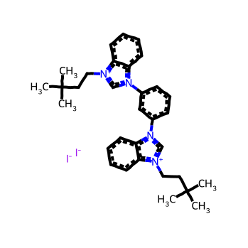 CC(C)(C)CC[n+]1cn(-c2cccc(-n3c[n+](CCC(C)(C)C)c4ccccc43)c2)c2ccccc21.[I-].[I-]